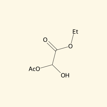 CCOC(=O)C(O)OC(C)=O